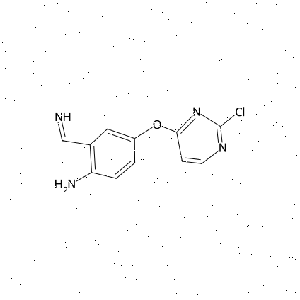 N=Cc1cc(Oc2ccnc(Cl)n2)ccc1N